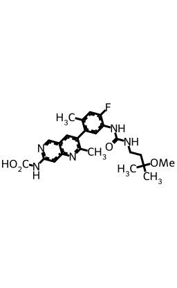 COC(C)(C)CCNC(=O)Nc1cc(-c2cc3cnc(NC(=O)O)cc3nc2C)c(C)cc1F